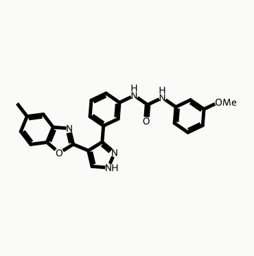 COc1cccc(NC(=O)Nc2cccc(-c3n[nH]cc3-c3nc4cc(C)ccc4o3)c2)c1